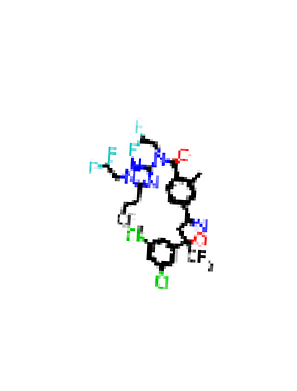 Cc1cc(C2=NOC(c3cc(Cl)cc(Cl)c3)(C(F)(F)F)C2)ccc1C(=O)N(CC(F)F)c1nc(CCC(F)(F)F)n(CC(F)F)n1